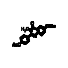 COc1ccc2nc(-c3ccc(OC(C)=O)cc3)n(C)c(=O)c2c1